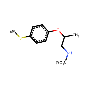 CCOC(=O)NCC(C)Oc1ccc(SC(C)CC)cc1